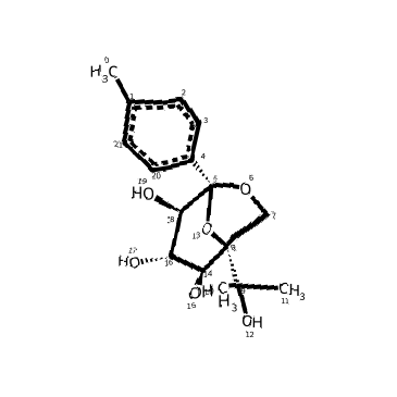 Cc1ccc([C@]23OC[C@](C(C)(C)O)(O2)[C@@H](O)[C@H](O)[C@H]3O)cc1